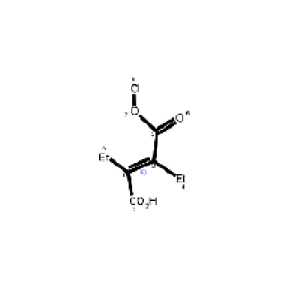 CC/C(C(=O)O)=C(/CC)C(=O)OCl